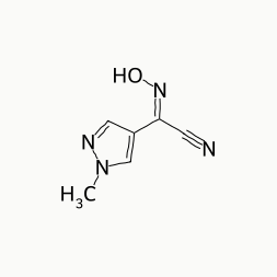 Cn1cc(/C(C#N)=N\O)cn1